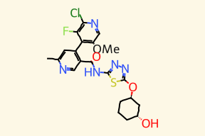 COc1cnc(Cl)c(F)c1-c1cc(C)ncc1C(=O)Nc1nnc(O[C@@H]2CCC[C@@H](O)C2)s1